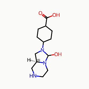 O=C(O)C1CCC(N2C[C@@H]3CNCCN3C2O)CC1